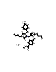 CCCCc1ncc(/C=C2/C(=O)N(CCCC)C(=O)N2Cc2ccc(Cl)cc2)n1Cc1ccc(C(=O)OC)cc1.Cl